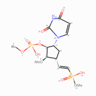 CCC(C)OP(=O)(O)O[C@@H]1[C@H](OC)[C@@H](/C=C/P(=O)(O)OC)C[C@H]1n1ccc(=O)[nH]c1=O